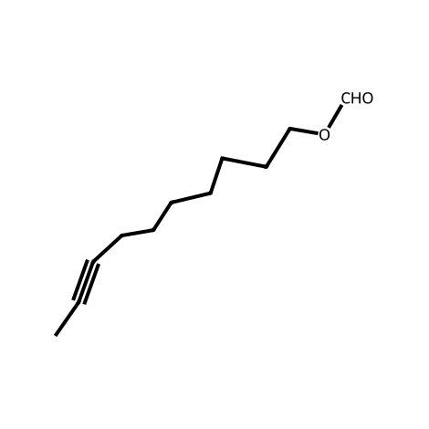 CC#CCCCCCCCOC=O